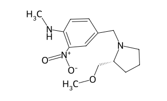 CNc1ccc(CN2CCC[C@@H]2COC)cc1[N+](=O)[O-]